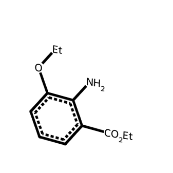 CCOC(=O)c1cccc(OCC)c1N